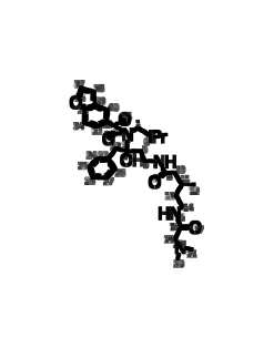 CC(C)CN(C(O)(CCNC(=O)C[C@@H](C)CCNC(=O)CN(C)C)Cc1ccccc1)S(=O)(=O)c1ccc2occc2c1